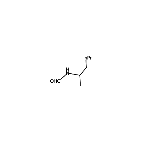 CCCCC(C)NC=O